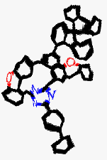 c1ccc(-c2ccc(-c3nc(-c4ccc5oc6ccccc6c5c4)nc(-c4cccc5oc6ccc(-c7cccc(-c8cccc9c8-c8ccccc8C98c9ccccc9-c9ccccc98)c7)cc6c45)n3)cc2)cc1